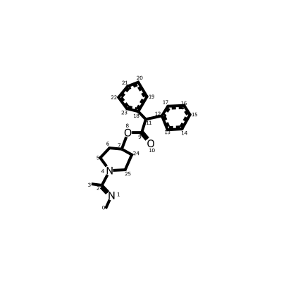 CN=C(C)N1CCC(OC(=O)C(c2ccccc2)c2ccccc2)CC1